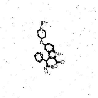 COC(=O)c1[nH]c2ccc(OC3CCN(C(C)C)CC3)cc2c1C(C(N)=O)c1ccccn1